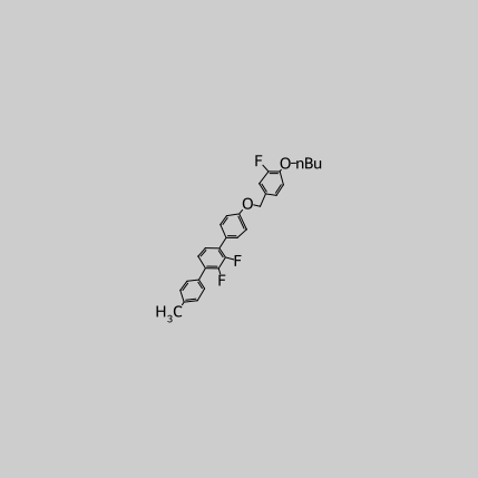 CCCCOc1ccc(COc2ccc(-c3ccc(-c4ccc(C)cc4)c(F)c3F)cc2)cc1F